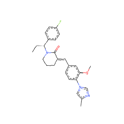 CC[C@H](c1ccc(F)cc1)N1CCC/C(=C\c2ccc(-n3cnc(C)c3)c(OC)c2)C1=O